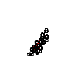 CC(C)(C)c1ccc2c(c1)C1(c3ccccc3Oc3ccc(N(c4ccc5c(c4)C4(c6ccccc6O5)c5cc(C6CCCCC6)ccc5-c5ccc(C6CCCCC6)cc54)c4ccccc4-c4cccc5c4oc4ccccc45)cc31)c1cc(C(C)(C)C)ccc1-2